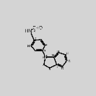 O=CNc1ccc(N2CCc3ccccc32)cc1